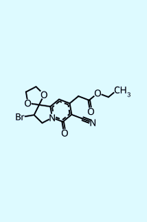 CCOC(=O)Cc1cc2n(c(=O)c1C#N)CC(Br)C21OCCO1